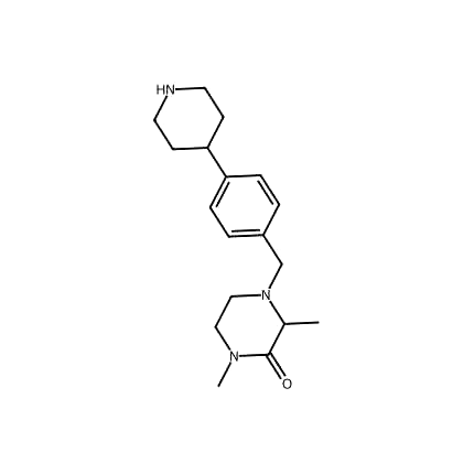 CC1C(=O)N(C)CCN1Cc1ccc(C2CCNCC2)cc1